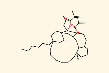 C=C(C)C(=O)OC12CC3C4CCC[C@@H]3CCCCCCC3(CCCCCC)CCC(CC3)(C1)C(CCC)(OC(=O)C(=C)C)C(C4)C2